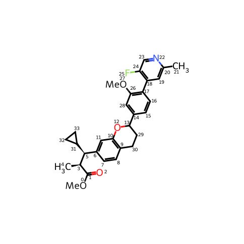 COC(=O)[C@@H](C)[C@H](c1ccc2c(c1)OC(c1ccc(-c3cc(C)ncc3F)c(OC)c1)CC2)C1CC1